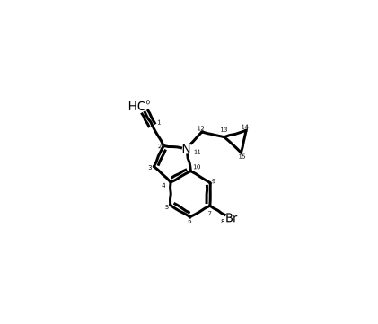 C#Cc1cc2ccc(Br)cc2n1CC1CC1